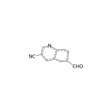 N#Cc1cnc2ccc(C=O)cc2c1